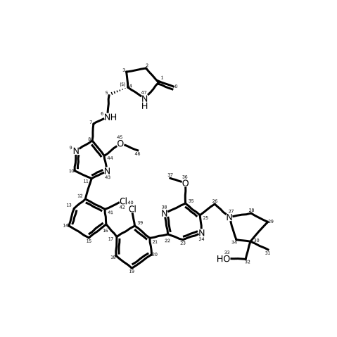 C=C1CC[C@@H](CNCc2ncc(-c3cccc(-c4cccc(-c5cnc(CN6CCC(C)(CO)C6)c(OC)n5)c4Cl)c3Cl)nc2OC)N1